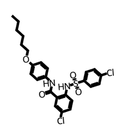 CCCCCCOc1ccc(NC(=O)c2cc(Cl)ccc2NS(=O)(=O)c2ccc(Cl)cc2)cc1